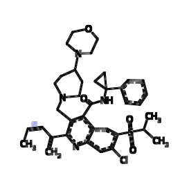 C=C(/C=C\C)c1nc2cc(Cl)c(S(=O)(=O)C(C)C)cc2c(C(=O)NC2(c3ccccc3)CC2)c1CN1CCC(N2CCOCC2)CC1